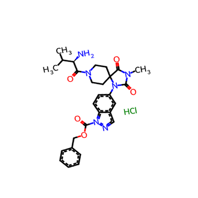 CC(C)[C@@H](N)C(=O)N1CCC2(CC1)C(=O)N(C)C(=O)N2c1ccc2c(cnn2C(=O)OCc2ccccc2)c1.Cl